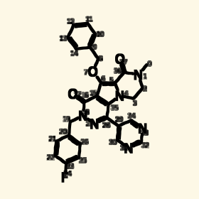 CN1CCn2c(c(OCc3ccccc3)c3c(=O)n(Cc4ccc(F)cc4)nc(-c4cncnc4)c32)C1=O